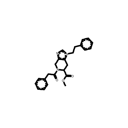 COC(=O)C1Cc2c(ncn2CCc2ccccc2)CN1C(=O)Cc1ccccc1